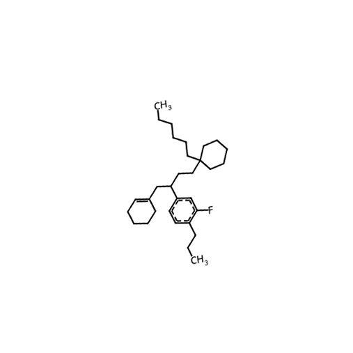 CCCCCCC1(CCC(CC2=CCCCC2)c2ccc(CCC)c(F)c2)CCCCC1